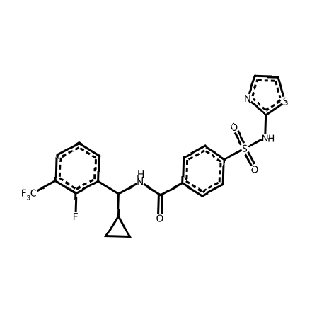 O=C(NC(c1cccc(C(F)(F)F)c1F)C1CC1)c1ccc(S(=O)(=O)Nc2nccs2)cc1